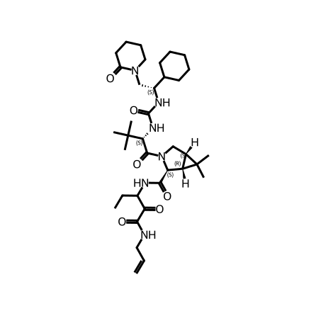 C=CCNC(=O)C(=O)C(CC)NC(=O)[C@@H]1[C@@H]2[C@H](CN1C(=O)[C@@H](NC(=O)N[C@H](CN1CCCCC1=O)C1CCCCC1)C(C)(C)C)C2(C)C